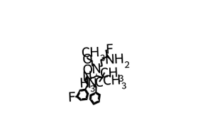 COCC(=O)N(CCC(N)CF)[C@@H](c1ncc(-c2cccc(F)c2)n1Cc1ccccc1)C(C)(C)C